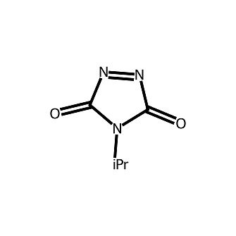 CC(C)N1C(=O)N=NC1=O